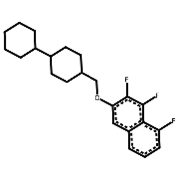 Fc1c(OCC2CCC(C3CCCCC3)CC2)cc2cccc(F)c2c1F